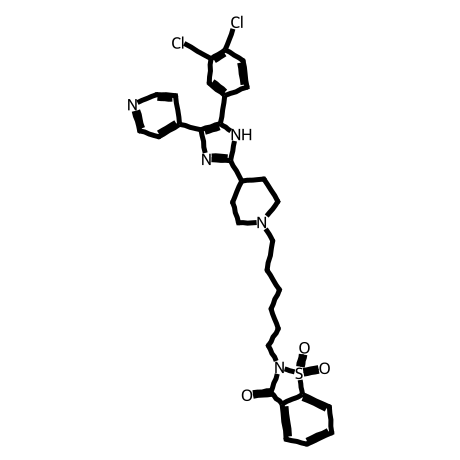 O=C1c2ccccc2S(=O)(=O)N1CCCCCCN1CCC(c2nc(-c3ccncc3)c(-c3ccc(Cl)c(Cl)c3)[nH]2)CC1